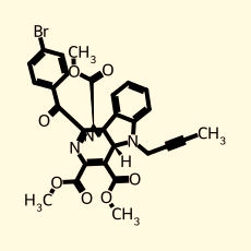 CC#CCN1c2ccccc2[C@@]23C[C@H](C(=O)OC)N(C(=O)c4ccc(Br)cc4)C2=NC(C(=O)OC)=C(C(=O)OC)[C@@H]13